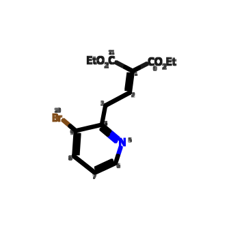 CCOC(=O)C(=CCc1ncccc1Br)C(=O)OCC